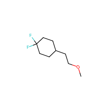 COCCC1CCC(F)(F)CC1